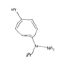 CCCc1ccc(N(N)C(C)C)cc1